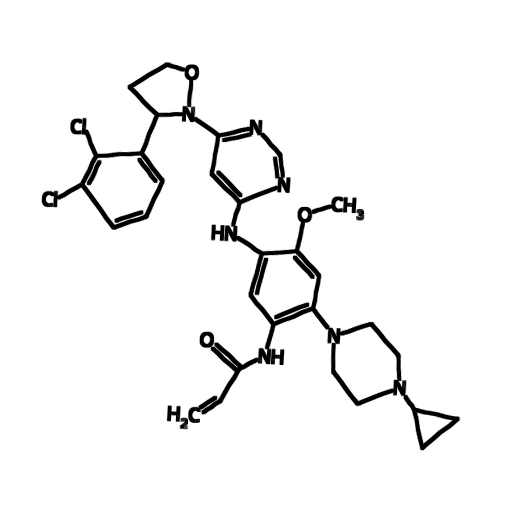 C=CC(=O)Nc1cc(Nc2cc(N3OCCC3c3cccc(Cl)c3Cl)ncn2)c(OC)cc1N1CCN(C2CC2)CC1